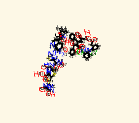 C=C[C@H]1C[N@]2CC[C@H]1C[C@H]2[C@H](O)c1ccnc2ccc(OC)cc12.CC(=O)CC(c1ccccc1)c1c(O)c2ccccc2oc1=O.CO/N=C(\C(=O)N[C@@H]1C(=O)N2C(C(=O)O)=C(CSc3nc(=O)c(O)nn3C)CS[C@H]12)c1csc(N)n1.O=C(O)Cc1ccccc1Nc1c(Cl)cccc1Cl